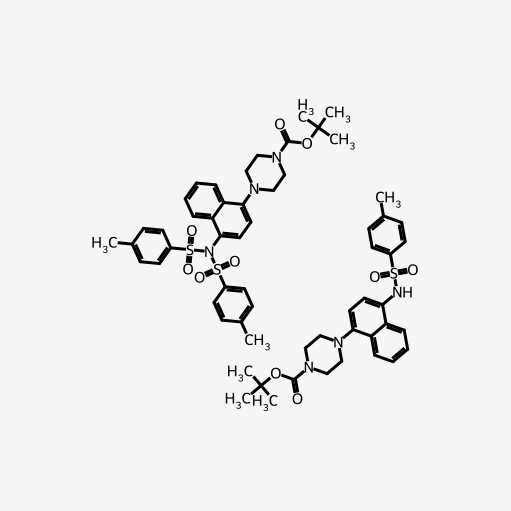 Cc1ccc(S(=O)(=O)N(c2ccc(N3CCN(C(=O)OC(C)(C)C)CC3)c3ccccc23)S(=O)(=O)c2ccc(C)cc2)cc1.Cc1ccc(S(=O)(=O)Nc2ccc(N3CCN(C(=O)OC(C)(C)C)CC3)c3ccccc23)cc1